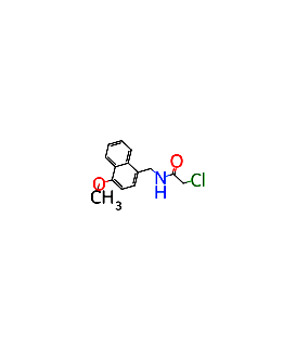 COc1ccc(CNC(=O)CCl)c2ccccc12